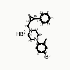 Br.Cc1cc(Br)ccc1N1CCN(CC2CC2c2ccccc2)CC1